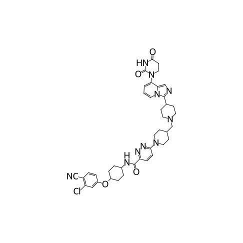 N#Cc1ccc(OC2CCC(NC(=O)c3ccc(N4CCC(CN5CCC(c6ncc7c(N8CCC(=O)NC8=O)cccn67)CC5)CC4)nn3)CC2)cc1Cl